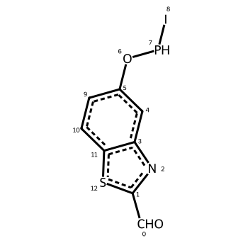 O=Cc1nc2cc(OPI)ccc2s1